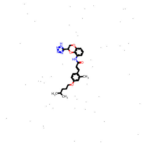 Cc1cc(OCCCC(C)C)ccc1C=CC(=O)Nc1cccc2c1OC(c1nnn[nH]1)CO2